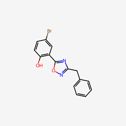 Oc1ccc(Br)cc1-c1nc(Cc2ccccc2)no1